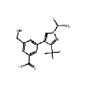 CC(I)n1cc(-c2cc(CO)cc(C(=O)O)c2)c(C(F)(F)F)n1